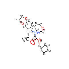 CCC(NC(=O)OCc1ccccc1)C1(C2CCOCC2)CCC2(CC1)OCCO2